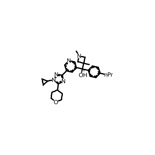 CCCc1ccc([C@](O)(c2cncc(-c3nc(C4CCOCC4)n(C4CC4)n3)c2)C2(C)CN(C)C2)cc1